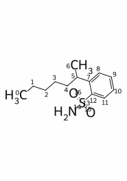 CCCCCC(C)c1ccccc1S(N)(=O)=O